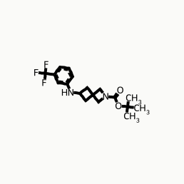 CC(C)(C)OC(=O)N1CC2(CC(Nc3cccc(C(F)(F)F)c3)C2)C1